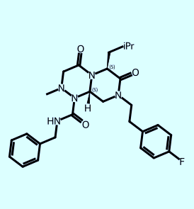 CC(C)C[C@H]1C(=O)N(CCc2ccc(F)cc2)C[C@H]2N1C(=O)CN(C)N2C(=O)NCc1ccccc1